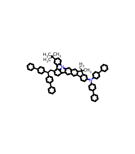 CC(C)(C)c1ccc2c(c1)c1c(CC(c3ccc(-c4ccccc4)cc3)c3ccc(-c4ccccc4)cc3)ccc3c4cc5cc6c(cc5cc4n2c31)C(C)(C)c1cc(N(c2ccc(-c3ccccc3)cc2)c2ccc(-c3ccccc3)cc2)ccc1-6